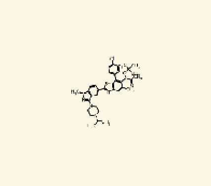 CC(=O)[C@@H](OC(C)(C)C)c1c(C)cc2nc(-c3ccc4c(c3)c(N3CCN(C(C)C)CC3)nn4C)sc2c1-c1ccc(Cl)cc1